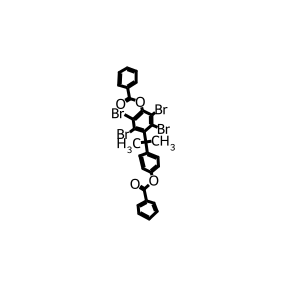 CC(C)(c1ccc(OC(=O)c2ccccc2)cc1)c1c(Br)c(Br)c(OC(=O)c2ccccc2)c(Br)c1Br